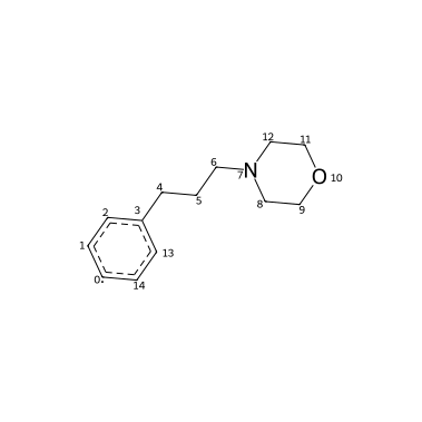 [c]1ccc(CCCN2CCOCC2)cc1